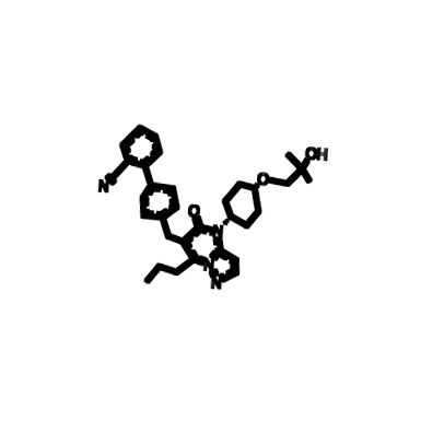 CCCc1c(Cc2ccc(-c3ccccc3C#N)cc2)c(=O)n([C@H]2CC[C@H](OCC(C)(C)O)CC2)c2ccnn12